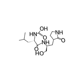 CC(C)C[C@H](NC(=O)O)C(=O)N[C@H](CO)CC1CCNC1=O